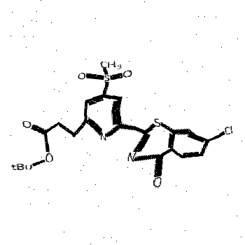 CC(C)(C)OC(=O)CCc1cc(S(C)(=O)=O)cc(-c2nc(=O)c3ccc(Cl)cc3s2)n1